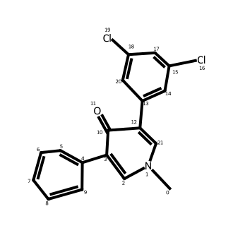 Cn1cc(-c2ccccc2)c(=O)c(-c2cc(Cl)cc(Cl)c2)c1